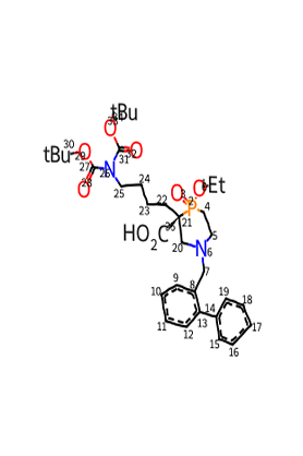 CCOP1(=O)CCN(Cc2ccccc2-c2ccccc2)C[C@@]1(CCCCN(C(=O)OC(C)(C)C)C(=O)OC(C)(C)C)C(=O)O